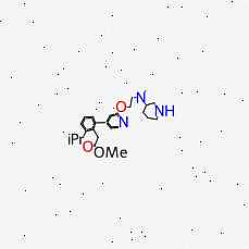 COC(=O)Cc1c(-c2ccnc(OCCN(C)C3CCCNC3)c2)cccc1C(C)C